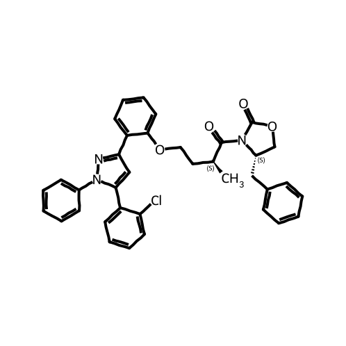 C[C@@H](CCOc1ccccc1-c1cc(-c2ccccc2Cl)n(-c2ccccc2)n1)C(=O)N1C(=O)OC[C@@H]1Cc1ccccc1